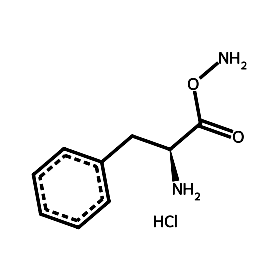 Cl.NOC(=O)[C@@H](N)Cc1ccccc1